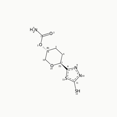 NC(=O)O[C@@H]1CC[C@@H](c2nnc(S)s2)OC1